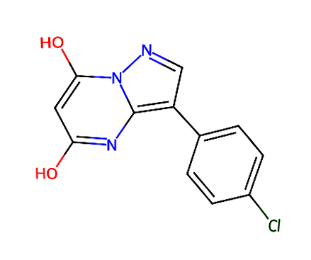 Oc1cc(O)n2ncc(-c3ccc(Cl)cc3)c2n1